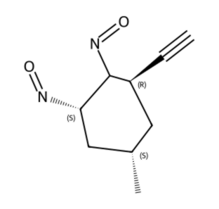 C#C[C@H]1C[C@H](C)C[C@H](N=O)C1N=O